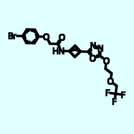 O=C(COc1ccc(Br)cc1)NC12CC(c3nnc(OCCOCC(F)(F)F)o3)(C1)C2